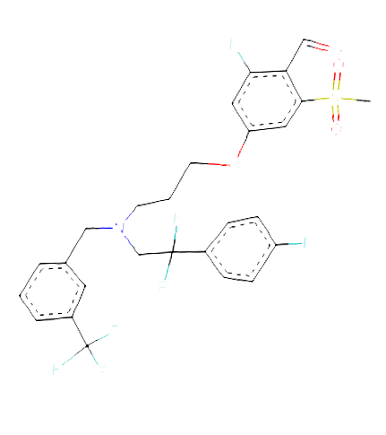 CS(=O)(=O)c1cc(OCCCN(Cc2cccc(C(F)(F)F)c2)CC(F)(F)c2ccc(F)cc2)cc(F)c1C=O